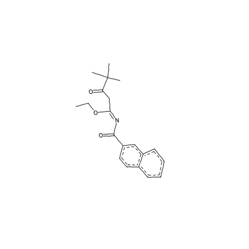 CCOC(CC(=O)C(C)(C)C)=NC(=O)c1ccc2ccccc2c1